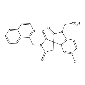 O=C(O)CN1C(=O)C2(CC(=O)N(Cc3nccc4ccccc34)C2=O)c2cc(Cl)ccc21